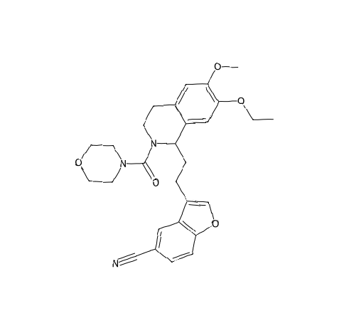 CCOc1cc2c(cc1OC)CCN(C(=O)N1CCOCC1)C2CCc1coc2ccc(C#N)cc12